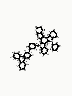 c1ccc(-n2c3ccccc3c3c4c5cccnc5sc4c4c(c5ccccc5n4-c4cccc(-c5ccc6c7ccccc7c7ccccc7c6c5)c4)c32)cc1